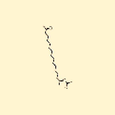 CC(=O)CCCCCCCCCCCCCC(C)OC(C)=O